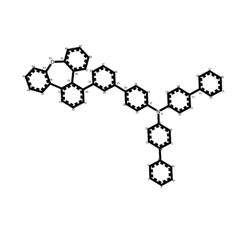 c1ccc(-c2ccc(N(c3ccc(-c4ccccc4)cc3)c3ccc(-c4cccc(-c5cccc6c5-c5ccccc5Oc5ccccc5-6)c4)cc3)cc2)cc1